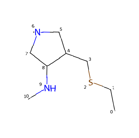 CCSCC1C[N]CC1NC